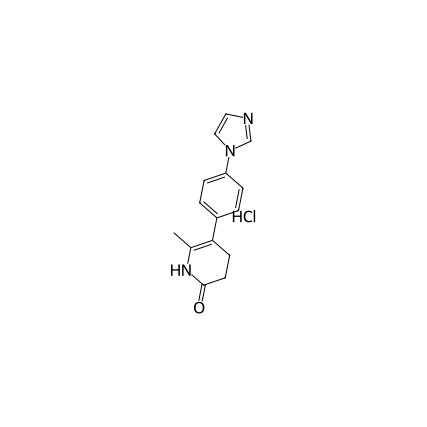 CC1=C(c2ccc(-n3ccnc3)cc2)CCC(=O)N1.Cl